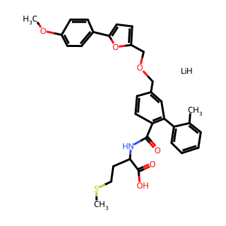 COc1ccc(-c2ccc(COCc3ccc(C(=O)NC(CCSC)C(=O)O)c(-c4ccccc4C)c3)o2)cc1.[LiH]